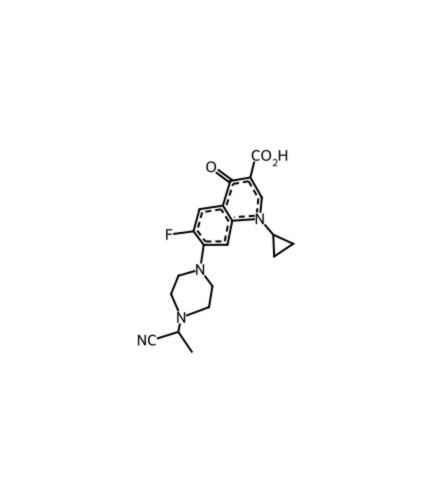 CC(C#N)N1CCN(c2cc3c(cc2F)c(=O)c(C(=O)O)cn3C2CC2)CC1